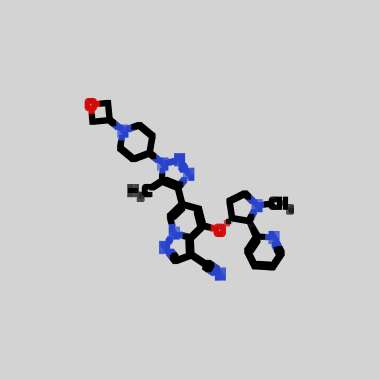 Cc1c(-c2cc(O[C@@H]3CCN(C)[C@H]3c3ccccn3)c3c(C#N)cnn3c2)nnn1C1CCN(C2COC2)CC1